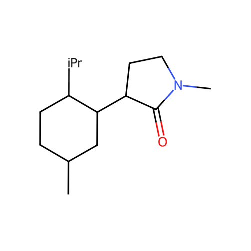 CC1CCC(C(C)C)C(C2CCN(C)C2=O)C1